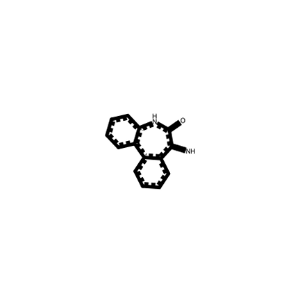 N=c1c(=O)[nH]c2ccccc2c2ccccc12